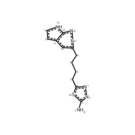 Nc1nnc(CCCCc2cc3cc[nH]c3nn2)s1